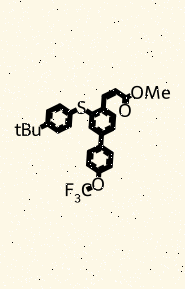 COC(=O)/C=C\c1ccc(-c2ccc(OC(F)(F)F)cc2)cc1Sc1ccc(C(C)(C)C)cc1